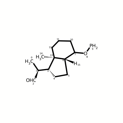 C[C@H](C=O)[C@H]1CC[C@H]2C(OP)CCC[C@]12C